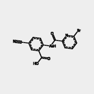 N#Cc1ccc([AsH]C(=O)c2cccc(Br)n2)c(C(=O)O)c1